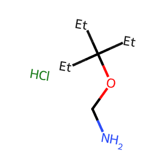 CCC(CC)(CC)OCN.Cl